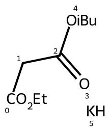 CCOC(=O)CC(=O)OCC(C)C.[KH]